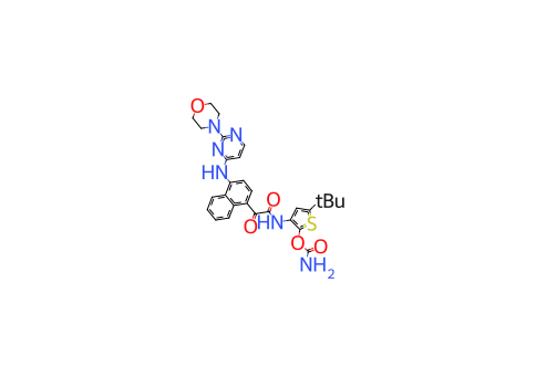 CC(C)(C)c1cc(NC(=O)C(=O)c2ccc(Nc3ccnc(N4CCOCC4)n3)c3ccccc23)c(OC(N)=O)s1